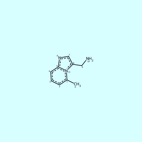 Cc1cccc2ncc(CN)n12